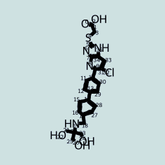 O=C(O)CSc1nc2nc(-c3ccc(-c4ccc(CNC(CO)(CO)CO)cc4)cc3)c(Cl)cc2[nH]1